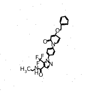 CCNC(=O)c1cnn(-c2ccc(-n3ccc(OCc4ccccc4)cc3=O)cc2)c1C(F)(F)F